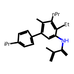 C=C(C)C(=C)Nc1cc(-c2ccc(C(C)C)cc2)c(C)c(CCC)c1CC